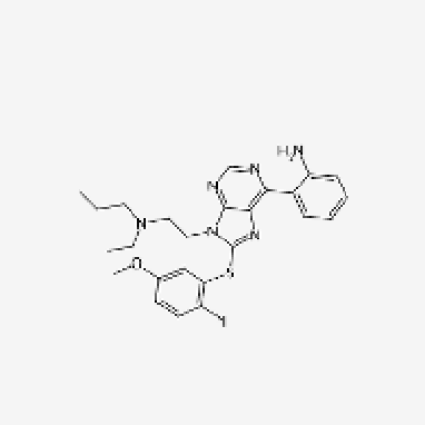 CCCN(CC)CCn1c(Sc2cc(OC)ccc2I)nc2c(-c3ccccc3N)ncnc21